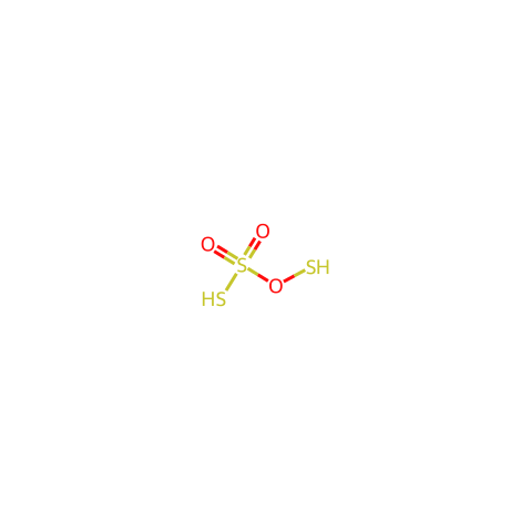 O=S(=O)(S)OS